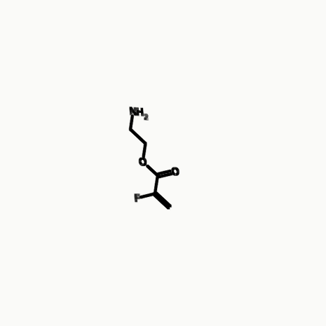 C=C(F)C(=O)OCCN